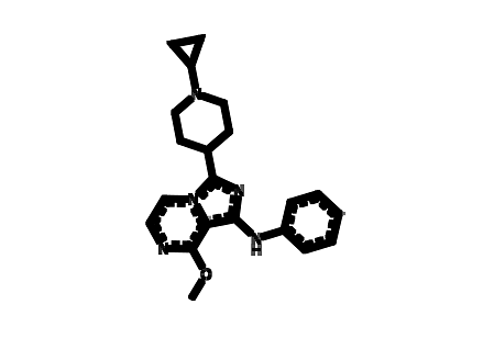 COc1nccn2c(C3CCN(C4CC4)CC3)nc(Nc3cc[c]cc3)c12